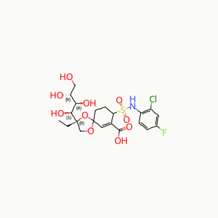 CC[C@]1([C@@H](O)[C@H](O)[C@H](O)CO)COC2(C=C(C(=O)O)C(S(=O)(=O)Nc3ccc(F)cc3Cl)CC2)O1